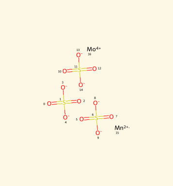 O=S(=O)([O-])[O-].O=S(=O)([O-])[O-].O=S(=O)([O-])[O-].[Mn+2].[Mo+4]